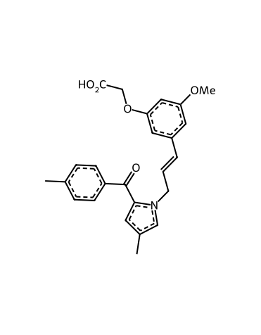 COc1cc(C=CCn2cc(C)cc2C(=O)c2ccc(C)cc2)cc(OCC(=O)O)c1